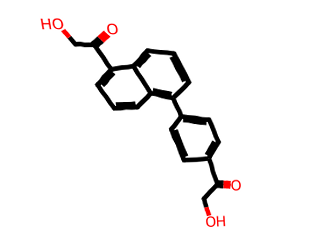 O=C(CO)c1ccc(-c2cccc3c(C(=O)CO)cccc23)cc1